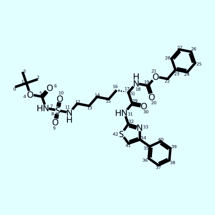 CC(C)(C)OC(=O)NS(=O)(=O)NCCCCC[C@H](NC(=O)OCc1ccccc1)C(=O)Nc1nc(-c2ccccc2)cs1